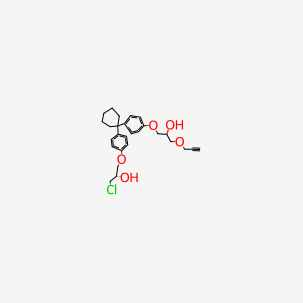 C#CCOC[C@H](O)COc1ccc(C2(c3ccc(OC[C@H](O)CCl)cc3)CCCCC2)cc1